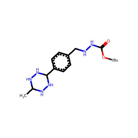 CC1NNC(c2ccc(CNNC(=O)OC(C)(C)C)cc2)NN1